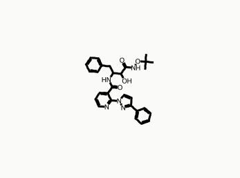 CC(C)(C)ONC(=O)C(O)C(Cc1ccccc1)NC(=O)c1cccnc1-n1ccc(-c2ccccc2)n1